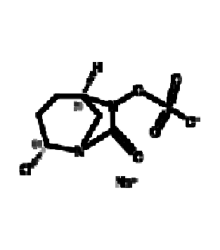 O=C1N2C[C@@H](CC[C@H]2Cl)N1OS(=O)(=O)[O-].[Na+]